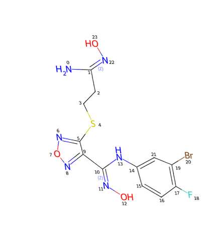 N/C(CCSc1nonc1/C(=N/O)Nc1ccc(F)c(Br)c1)=N\O